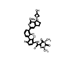 COc1nc(-c2cccc(-c3c(F)ccc(NC(=O)c4nn(C)c(=O)n(C)c4=O)c3Cl)c2Cl)cc2c1[C@@H](N1CC(O)C1)CC2